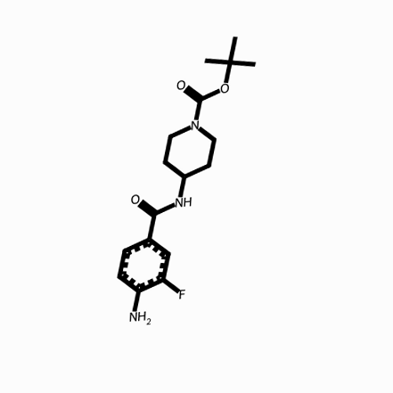 CC(C)(C)OC(=O)N1CCC(NC(=O)c2ccc(N)c(F)c2)CC1